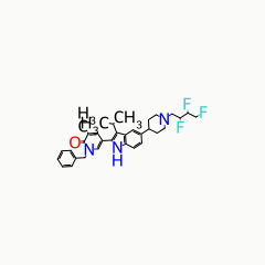 Cc1cc(-c2[nH]c3ccc(C4CCN(CC(F)C(F)CF)CC4)cc3c2C(C)C)cn(Cc2ccccc2)c1=O